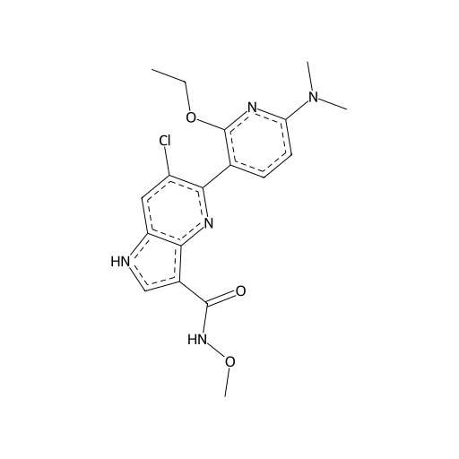 CCOc1nc(N(C)C)ccc1-c1nc2c(C(=O)NOC)c[nH]c2cc1Cl